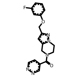 O=C(c1ccnnc1)N1CCn2nc(COc3cccc(F)c3)cc2C1